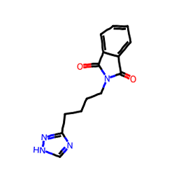 O=C1c2ccccc2C(=O)N1CCCCc1nc[nH]n1